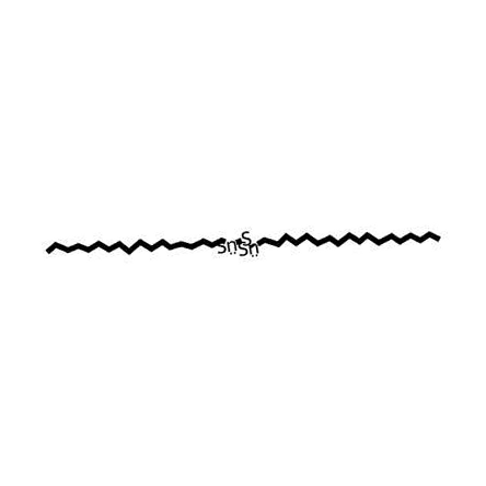 CCCCCCCCCCCCCCCCC[CH2][Sn][S][Sn][CH2]CCCCCCCCCCCCCCCCC